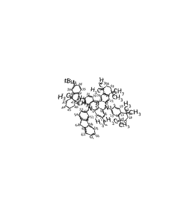 Cc1cc2c3c(c1)N(c1ccc4c(c1)C(C)(C)CCC4(C)C)c1cc4c(cc1B3c1ccc(N3c5ccc(C(C)(C)C)cc5C5(C)CCCCC35C)cc1N2c1ccc2c(c1)-c1ccccc1C2)C(C)(C)CCC4(C)C